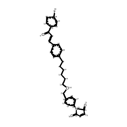 O=C(C=Cc1ccc(CCCCCCOCc2ccc(N3C(=O)C=CC3=O)cc2)cc1)c1ccc(F)cc1